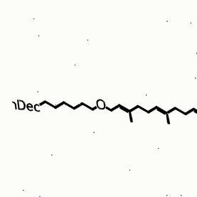 CCCCCCCCCCCCCCCCOC/C=C(\C)CC/C=C(\C)CCC=C(C)C